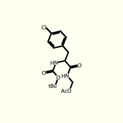 CC(=O)OCNC(=O)C(Cc1ccc(Cl)cc1)NC(=O)OC(C)(C)C